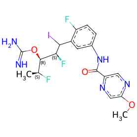 COc1cnc(C(=O)Nc2ccc(F)c(C(I)[C@@H](F)[C@H](OC(=N)N)[C@H](C)F)c2)cn1